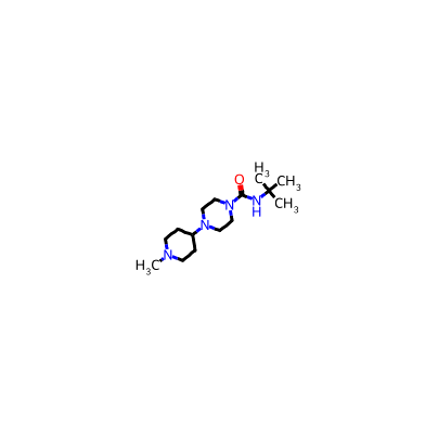 CN1CCC(N2CCN(C(=O)NC(C)(C)C)CC2)CC1